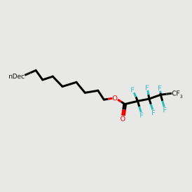 CCCCCCCCCCCCCCCCCCOC(=O)C(F)(F)C(F)(F)C(F)(F)C(F)(F)F